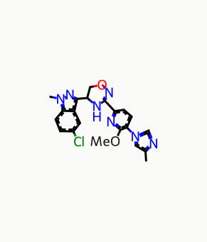 COc1nc(C2=NOCC(c3nn(C)c4ccc(Cl)cc34)N2)ccc1-n1cnc(C)c1